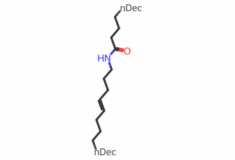 CCCCCCCCCCCCCC=CCCCNC(=O)CCCCCCCCCCCCC